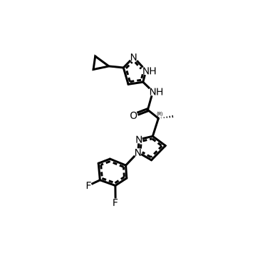 C[C@@H](C(=O)Nc1cc(C2CC2)n[nH]1)c1ccn(-c2ccc(F)c(F)c2)n1